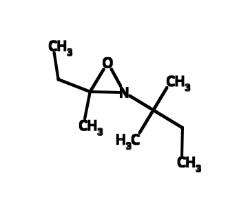 CCC(C)(C)N1OC1(C)CC